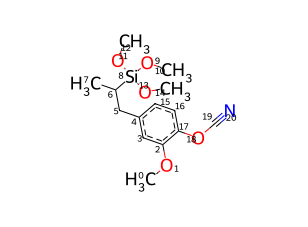 COc1cc(CC(C)[Si](OC)(OC)OC)ccc1OC#N